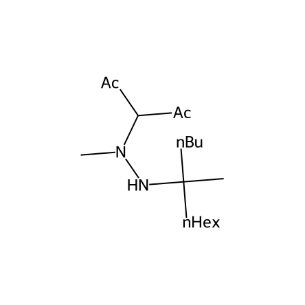 CCCCCCC(C)(CCCC)NN(C)C(C(C)=O)C(C)=O